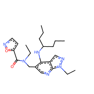 CCCC(CCC)Nc1c(CN(CC)C(=O)c2ccno2)cnc2c1cnn2CC